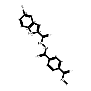 COC(=O)c1ccc(C(=O)NNC(=O)c2cc3cc(Cl)ccc3[nH]2)cc1